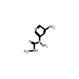 NNC(=O)N(N)c1cncc([N+](=O)[O-])c1